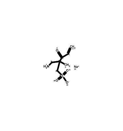 C=CC(=O)C(C)(CN)CS(=O)(=O)[O-].[Na+]